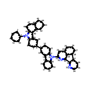 c1ccc(-n2c3ccc(-c4ccc5c(c4)c4ccccc4n5-c4cc5cccc6c5c(n4)-c4ncccc4-6)cc3c3c4ccccc4ccc32)cc1